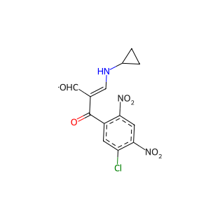 O=[C]C(=CNC1CC1)C(=O)c1cc(Cl)c([N+](=O)[O-])cc1[N+](=O)[O-]